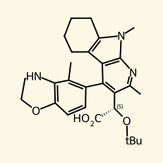 Cc1nc2c(c3c(n2C)CCCC3)c(-c2ccc3c(c2C)NCCO3)c1[C@H](OC(C)(C)C)C(=O)O